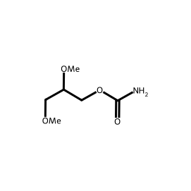 COCC(COC(N)=O)OC